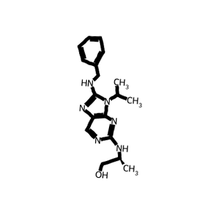 CC(C)n1c(NCc2ccccc2)nc2cnc(N[C@@H](C)CO)nc21